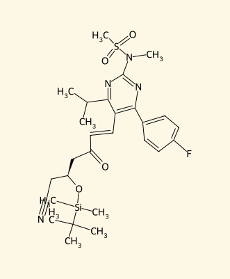 CC(C)c1nc(N(C)S(C)(=O)=O)nc(-c2ccc(F)cc2)c1/C=C/C(=O)C[C@H](CC#N)O[Si](C)(C)C(C)(C)C